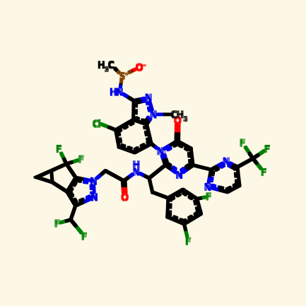 Cn1nc(N[S+](C)[O-])c2c(Cl)ccc(-n3c(C(Cc4cc(F)cc(F)c4)NC(=O)Cn4nc(C(F)F)c5c4C(F)(F)C4CC54)nc(-c4nccc(C(F)(F)F)n4)cc3=O)c21